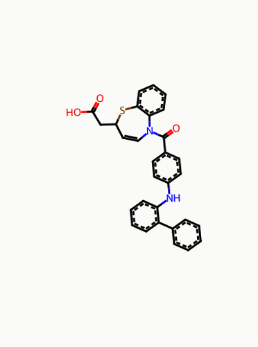 O=C(O)CC1C=CN(C(=O)c2ccc(Nc3ccccc3-c3ccccc3)cc2)c2ccccc2S1